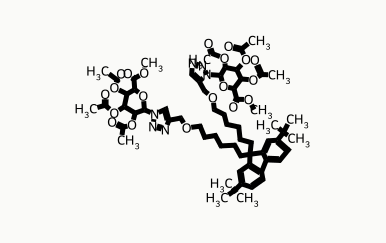 COC(=O)C1OC(n2cc(COCCCCCCC3(CCCCCCOCc4cnnn4C4OC(C(=O)OC)C(OC(C)=O)C(OC(C)=O)C4OC(C)=O)c4cc(C(C)(C)C)ccc4-c4ccc(C(C)(C)C)cc43)nn2)C(OC(C)=O)C(OC(C)=O)C1OC(C)=O